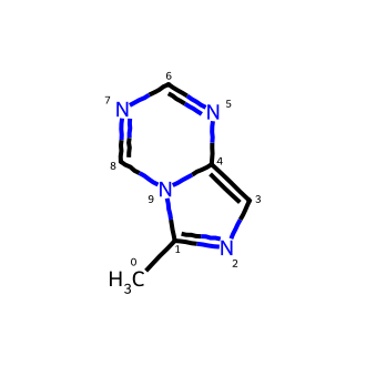 Cc1ncc2ncncn12